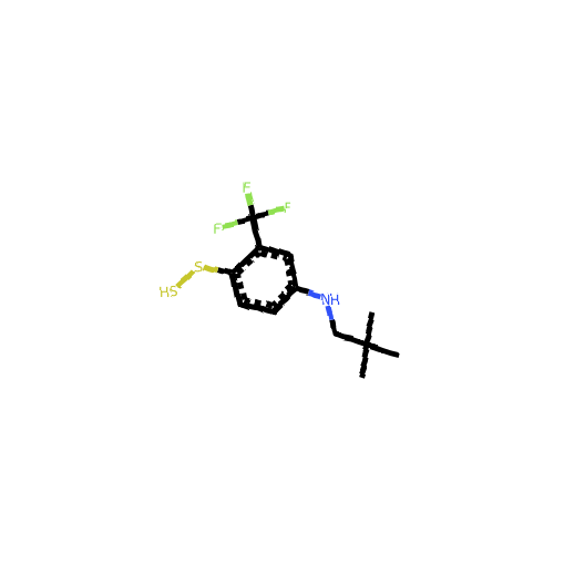 CC(C)(C)CNc1ccc(SS)c(C(F)(F)F)c1